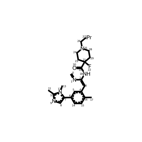 C=N/C(=C\c1cc(-c2cnc(C)n2C)ccc1C)NC(=O)C1(F)CCN(CC(C)C)CC1